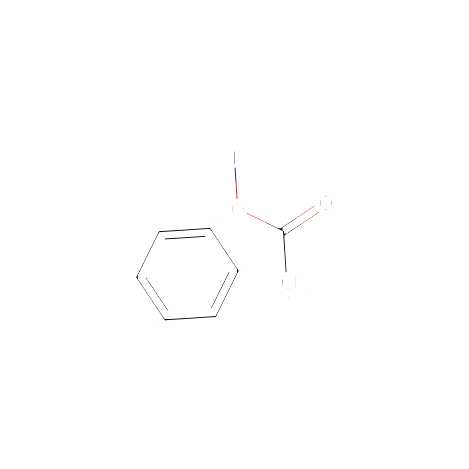 O=C(OI)C(F)(F)F.c1ccccc1